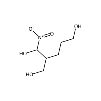 O=[N+]([O-])C(O)C(CO)CCCO